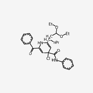 CCCC.CCOC(C)OCC.O=C(C1=CC(Cl)(C(=O)Nc2ccccc2)C=CN1)c1ccccc1